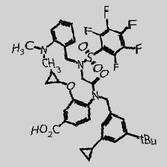 CN(C)c1ccccc1CN(CC(=O)N(Cc1cc(C2CC2)cc(C(C)(C)C)c1)c1ccc(C(=O)O)cc1OC1CC1)S(=O)(=O)c1c(F)c(F)c(F)c(F)c1F